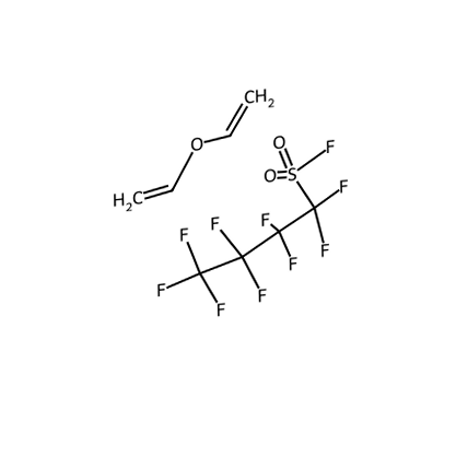 C=COC=C.O=S(=O)(F)C(F)(F)C(F)(F)C(F)(F)C(F)(F)F